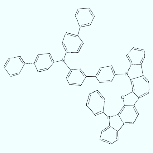 c1ccc(-c2ccc(N(c3ccc(-c4ccccc4)cc3)c3cccc(-c4ccc(-n5c6ccccc6c6ccc7c8ccc9c%10ccccc%10n(-c%10ccccc%10)c9c8oc7c65)cc4)c3)cc2)cc1